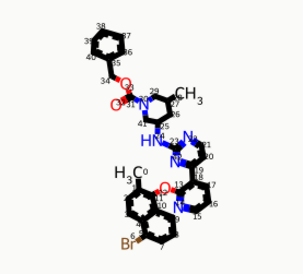 Cc1ccc2c(Br)cccc2c1Oc1ncccc1-c1ccnc(NC2CC(C)CN(C(=O)OCc3ccccc3)C2)n1